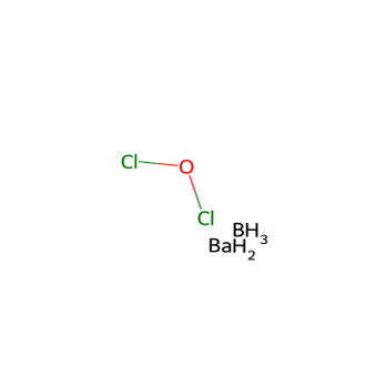 B.ClOCl.[BaH2]